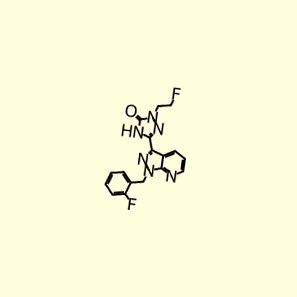 O=c1[nH]c(-c2nn(Cc3ccccc3F)c3ncccc23)nn1CCF